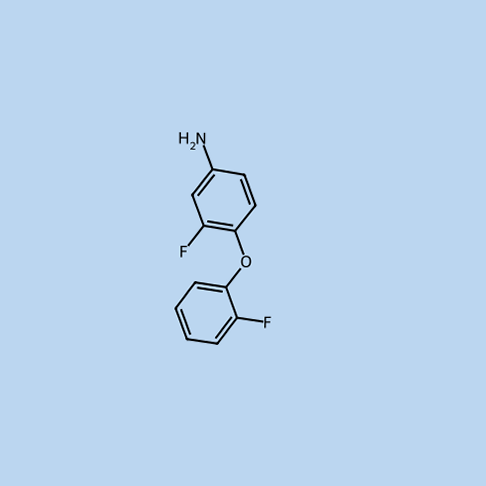 Nc1ccc(Oc2ccccc2F)c(F)c1